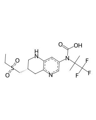 CCS(=O)(=O)C[C@@H]1CNc2cc(N(C(=O)O)C(C)(C)C(F)(F)F)cnc2C1